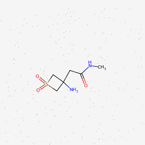 CNC(=O)CC1(N)CS(=O)(=O)C1